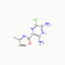 CS/C(C)=N\C(=O)c1nc(Cl)c(N)nc1N